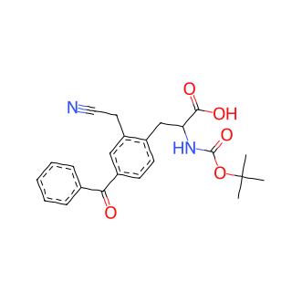 CC(C)(C)OC(=O)NC(Cc1ccc(C(=O)c2ccccc2)cc1CC#N)C(=O)O